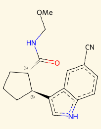 COCNC(=O)[C@H]1CCC[C@@H]1c1c[nH]c2ccc(C#N)cc12